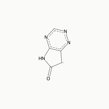 O=C1[CH]c2nncnc2N1